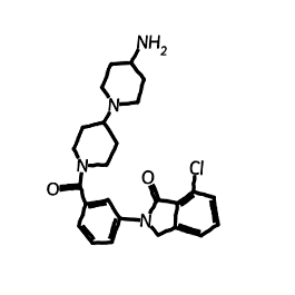 NC1CCN(C2CCN(C(=O)c3cccc(N4Cc5cccc(Cl)c5C4=O)c3)CC2)CC1